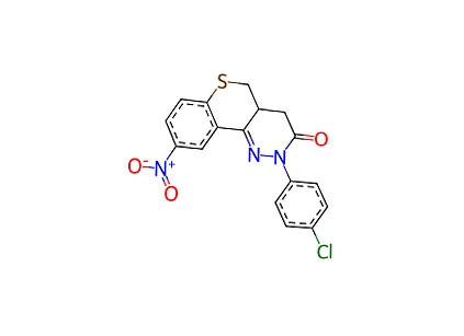 O=C1CC2CSc3ccc([N+](=O)[O-])cc3C2=NN1c1ccc(Cl)cc1